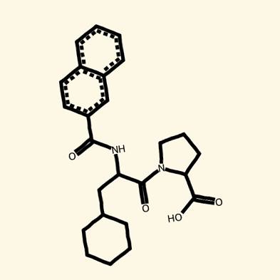 O=C(NC(CC1CCCCC1)C(=O)N1CCCC1C(=O)O)c1ccc2ccccc2c1